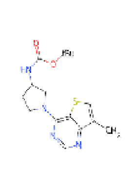 Cc1csc2c(N3CCC(NC(=O)OC(C)(C)C)C3)ncnc12